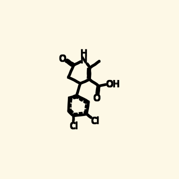 CC1=C(C(=O)O)C(c2ccc(Cl)c(Cl)c2)CC(=O)N1